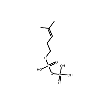 CC(C)=CCCOP(=O)(O)OP(=O)(O)O